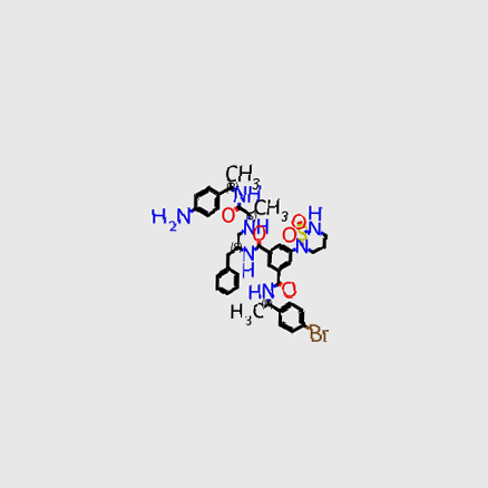 C[C@H](NC[C@H](Cc1ccccc1)NC(=O)c1cc(C(=O)N[C@H](C)c2ccc(Br)cc2)cc(N2CCCNS2(=O)=O)c1)C(=O)N[C@H](C)c1ccc(N)cc1